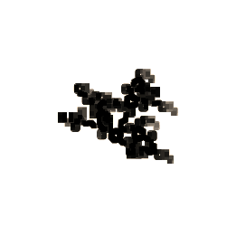 C=CCOC(=O)N[C@H](c1cn([C@@H](CCCNC(N)=O)C(=O)Nc2ccc(COC(=O)N3c4cc(OCCCCCOc5cc6c(cc5OC)C(=O)N5CC(=C)C[C@H]5[C@H](O)N6C(=O)OCC=C)c(OC)cc4C(=O)N4CC(=C)C[C@H]4[C@@H]3O)cc2)nn1)C(C)C